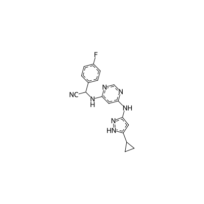 N#CC(Nc1cc(Nc2cc(C3CC3)[nH]n2)ncn1)c1ccc(F)cc1